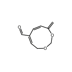 C=C1/C=C\C(C=O)=C/COCO1